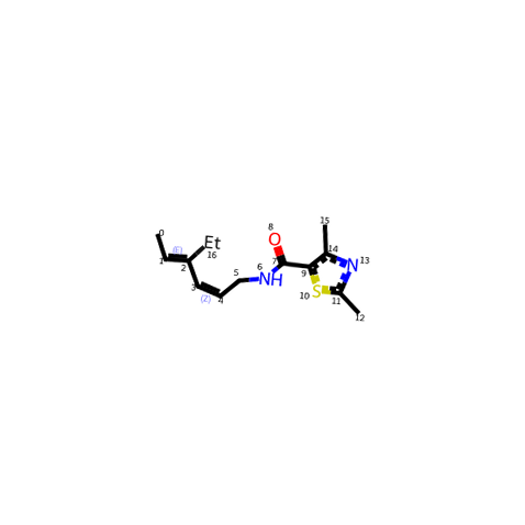 C/C=C(/C=C\CNC(=O)c1sc(C)nc1C)CC